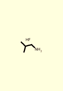 CC(C)CN.F